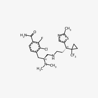 Cc1ncc([C@@H](CCNC[C@H](Cc2ccc(C(N)=O)c(F)c2Cl)N(C)C)C2(C(F)(F)F)CC2)s1